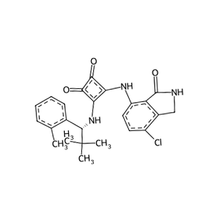 Cc1ccccc1[C@H](Nc1c(Nc2ccc(Cl)c3c2C(=O)NC3)c(=O)c1=O)C(C)(C)C